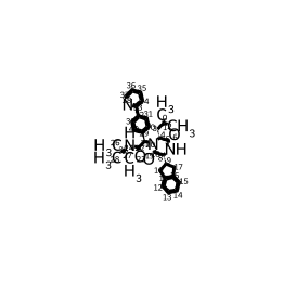 CC(C)C[C@@H]1C(=O)N[C@H](C2Cc3ccccc3C2)C(=O)N1[C@@H](C(=O)NC(C)(C)C)c1ccc(-c2ccccn2)cc1